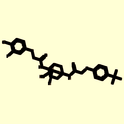 CC(C)(C)c1ccc(OCC(=O)NC23CCC(NC(=O)COc4ccc(Cl)c(F)c4)(CC2)[C@@H](O)C3)cc1